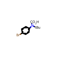 CC(C)(C)N(C(=O)O)c1ccc(Br)cc1